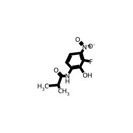 CC(C)C(=O)Nc1ccc([N+](=O)[O-])c(F)c1O